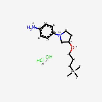 C[Si](C)(C)CCCOC1CCN(c2ccc(N)cc2)C1.Cl.Cl